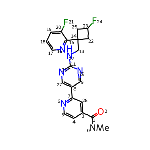 CNC(=O)c1ccnc(-c2cnc(NCC3(c4ncccc4F)CC(F)C3)nc2)c1